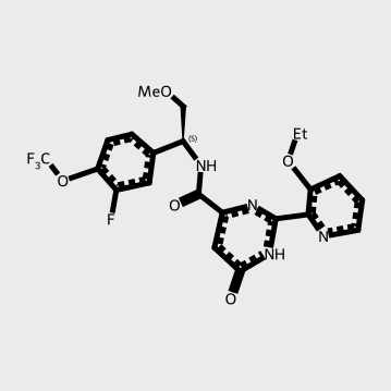 CCOc1cccnc1-c1nc(C(=O)N[C@H](COC)c2ccc(OC(F)(F)F)c(F)c2)cc(=O)[nH]1